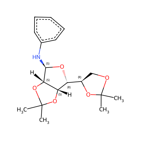 CC1(C)O[C@H]2[C@@H]([C@H]3COC(C)(C)O3)O[C@H](Nc3ccccc3)[C@H]2O1